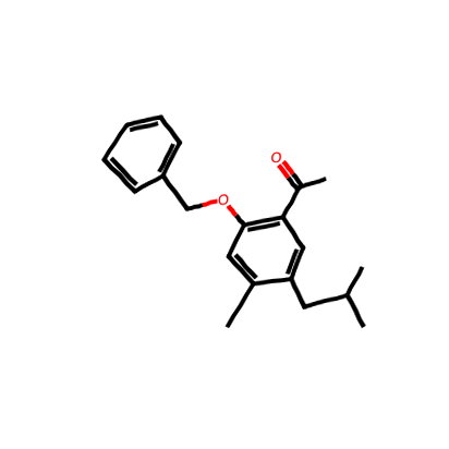 CC(=O)c1cc(CC(C)C)c(C)cc1OCc1ccccc1